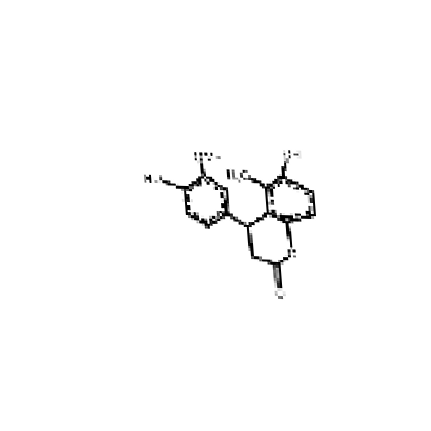 COc1cc(C2CC(=O)Oc3ccc(O)c(C)c32)ccc1O